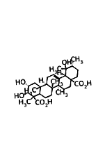 C[C@@H]1CC[C@]2(C(=O)O)CC[C@]3(C)C(=CC[C@@H]4[C@@]5(C)C[C@@H](O)[C@H](O)C(C)(C(=O)O)C5CC[C@]43C)[C@@H]2[C@]1(C)O